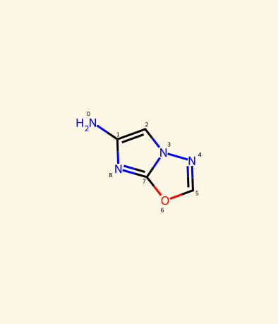 Nc1cn2ncoc2n1